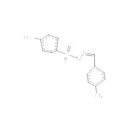 Cc1ccc(S(=O)(=O)N/N=C\c2ccc(C#N)cc2)cc1